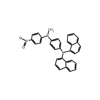 CN(c1ccc(N(c2cccc3ccccc23)c2cccc3ccccc23)cc1)c1ccc([N+](=O)[O-])cc1